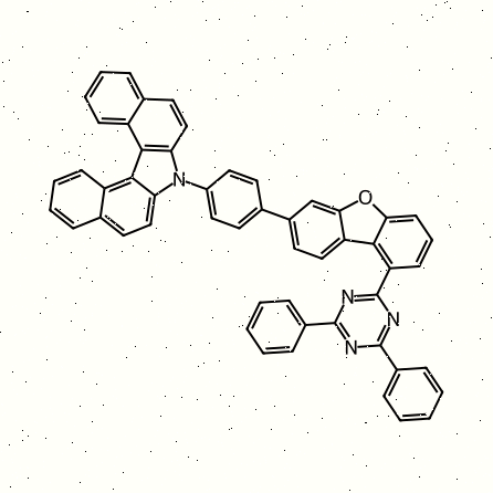 c1ccc(-c2nc(-c3ccccc3)nc(-c3cccc4oc5cc(-c6ccc(-n7c8ccc9ccccc9c8c8c9ccccc9ccc87)cc6)ccc5c34)n2)cc1